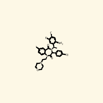 CC(c1cc(F)c(Cl)cc1N)N1C(=O)c2cc(I)ccc2N(CCN2CCOCC2)C(=O)C1c1ccc(Cl)cc1